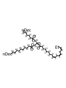 CC/C=C\C/C=C\C/C=C\CCCCCCCC(=O)O[C@H](COC(=O)CCCCCCCCCCCCCCC)COC(=O)CCCCCCCCCCCCCCCCCCC